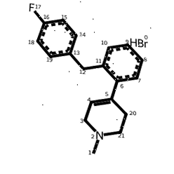 Br.CN1CC=C(c2ccccc2Cc2ccc(F)cc2)CC1